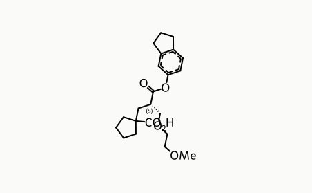 COCCOC[C@H](CC1(C(=O)O)CCCC1)C(=O)Oc1ccc2c(c1)CCC2